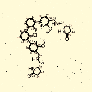 COc1nc(-c2cccc(-c3cccc(-c4ccc(CNC[C@@H]5CCC(=O)N5)c(OC)n4)c3Cl)c2F)ccc1CNC[C@@H]1CCC(=O)N1